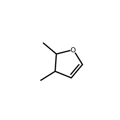 CC1C=COC1C